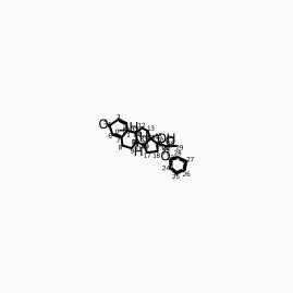 C[C@]12C=CC(=O)C=C1CC[C@@H]1[C@@H]2CC[C@@]2(C)[C@H]1CC[C@]2(O)[C@]1(Oc2ccccc2)CO1